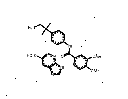 COc1ccc(C(=O)Nc2ccc(C(C)(C)CN)cc2)cc1OC.O=C(O)c1cnc2[nH]cnc2c1